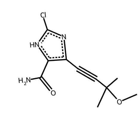 COC(C)(C)C#Cc1nc(Cl)[nH]c1C(N)=O